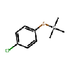 C[Si](C)(C)Sc1ccc(Cl)cc1